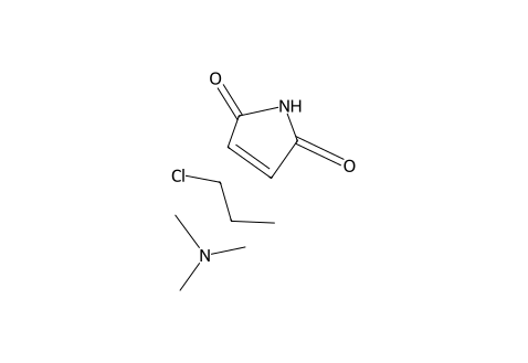 CCCCl.CN(C)C.O=C1C=CC(=O)N1